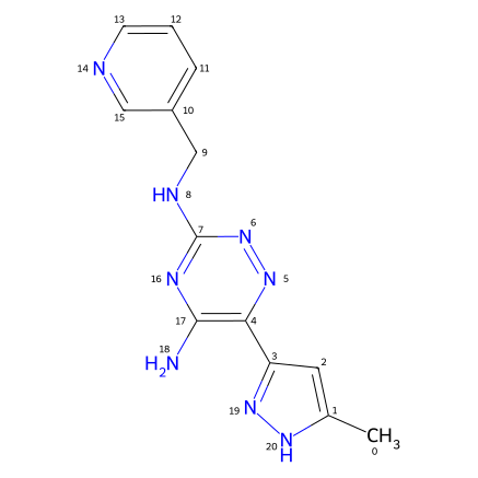 Cc1cc(-c2nnc(NCc3cccnc3)nc2N)n[nH]1